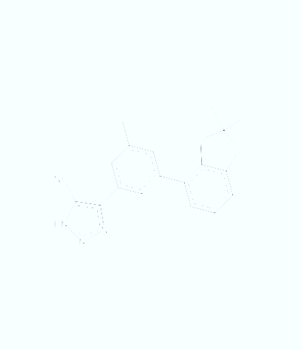 Cc1cc(-c2cccc3c2OC(F)(F)O3)cc(-c2nn[nH]c2C#N)c1